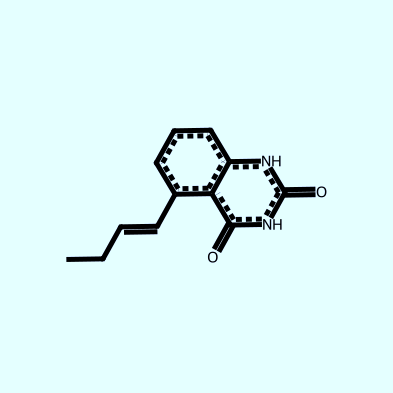 CC/C=C/c1cccc2[nH]c(=O)[nH]c(=O)c12